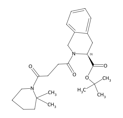 CC(C)(C)OC(=O)[C@@H]1Cc2ccccc2CN1C(=O)CCC(=O)N1CCCCC1(C)C